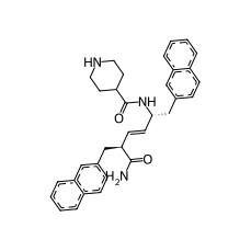 NC(=O)[C@H](/C=C/[C@@H](Cc1ccc2ccccc2c1)NC(=O)C1CCNCC1)Cc1ccc2ccccc2c1